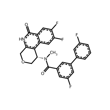 CN(C(=O)c1cc(F)cc(-c2cccc(F)c2)c1)[C@@H]1COCc2[nH]c(=O)c3cc(F)c(F)cc3c21